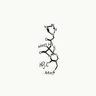 COC1(NC(=O)Cn2cnnn2)C(=O)N2C(C(=O)O)=C(CSC)CS[C@H]21